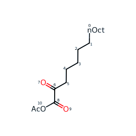 CCCCCCCCCCCCCC(=O)C(=O)OC(C)=O